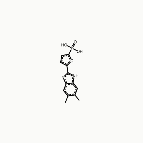 Cc1cc2nc(-c3ccc(P(=O)(O)O)o3)[nH]c2cc1C